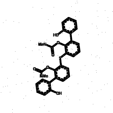 CNC(=O)Oc1c(Sc2cccc(-c3ccccc3O)c2OC(=O)NC)cccc1-c1ccccc1O